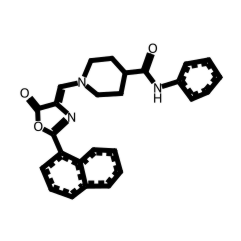 O=C1OC(c2cccc3ccccc23)=NC1=CN1CCC(C(=O)Nc2ccccc2)CC1